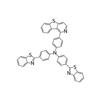 c1ccc2sc(-c3ccc(N(c4ccc(-c5nc6ccccc6s5)cc4)c4ccc(-c5nccc6sc7ccccc7c56)cc4)cc3)nc2c1